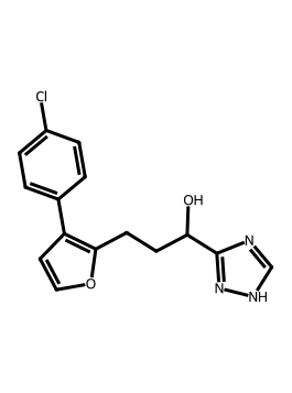 OC(CCc1occc1-c1ccc(Cl)cc1)c1nc[nH]n1